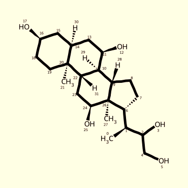 C[C@H](C(O)CO)[C@H]1CC[C@H]2[C@@H]3[C@H](O)C[C@@H]4C[C@H](O)CC[C@]4(C)[C@H]3C[C@H](O)[C@]12C